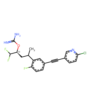 CC(C[C@H](OC(=N)N)C(F)F)c1cc(C#Cc2ccc(Cl)nc2)ccc1F